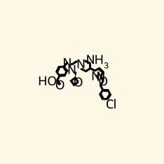 N.O=C(O)c1ccc2nc(CN3CCC(c4ccn(OCc5ccc(Cl)cc5)n4)CC3)n(C[C@@H]3CCO3)c2c1